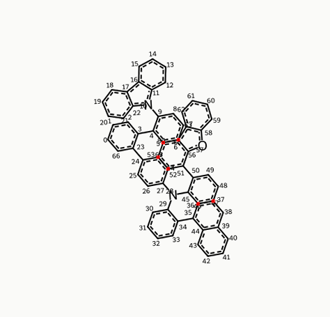 c1ccc(-c2ccccc2-n2c3ccccc3c3ccccc32)c(-c2ccc(N(c3ccccc3-c3cccc4ccccc34)c3ccccc3-c3cccc4c3oc3ccccc34)cc2)c1